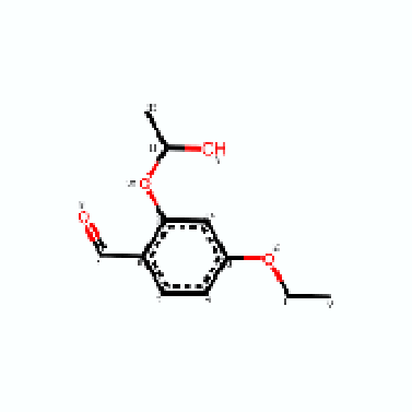 CCOc1ccc(C=O)c(OC(C)O)c1